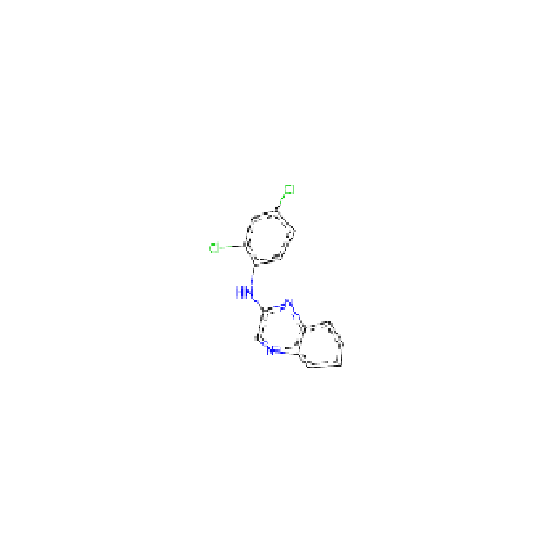 Clc1ccc(Nc2cnc3ccccc3n2)c(Cl)c1